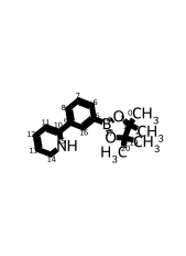 CC1(C)OB(c2cccc(C3=CC=CCN3)c2)OC1(C)C